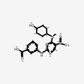 CN(c1nc(Nc2cccc(C(=O)O)c2)ncc1[N+](=O)[O-])C1CCC(O)CC1